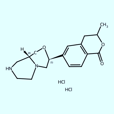 CC1Cc2cc([C@H]3CN4CCNC[C@@H]4CO3)ccc2C(=O)O1.Cl.Cl